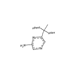 CCCCCCC(C)(CCCCC)c1cncc(N)n1